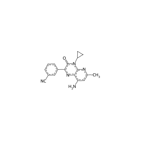 Cc1cc(N)c2nc(-c3cccc(C#N)c3)c(=O)n(C3CC3)c2n1